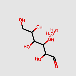 O.O.O=CC(O)C(O)C(O)C(O)CO